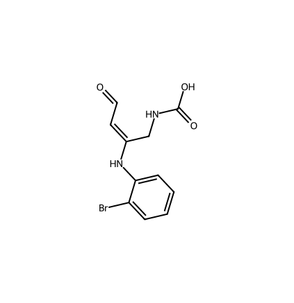 O=CC=C(CNC(=O)O)Nc1ccccc1Br